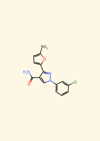 NC(=O)c1cn(-c2cccc(Cl)c2)nc1-c1ccc([N+](=O)[O-])o1